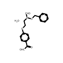 O.O=CC(=O)c1ccc(OCCN(C=O)OCc2ccccc2)cc1